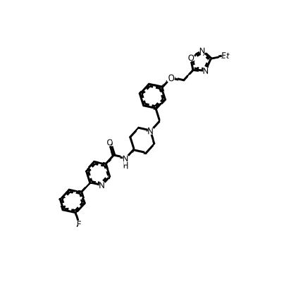 CCc1noc(COc2cccc(CN3CCC(NC(=O)c4ccc(-c5cccc(F)c5)nc4)CC3)c2)n1